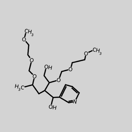 COCCOCOC(C)CC(C(CO)OCOCCOC)C(O)c1cccnc1